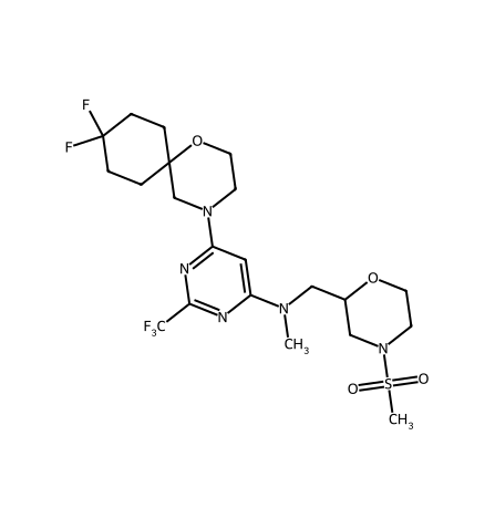 CN(CC1CN(S(C)(=O)=O)CCO1)c1cc(N2CCOC3(CCC(F)(F)CC3)C2)nc(C(F)(F)F)n1